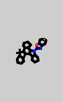 CC1(C)c2ccccc2-c2c1c1ccccc1c1c2c2ccccc2n1-c1nc2ccccc2o1